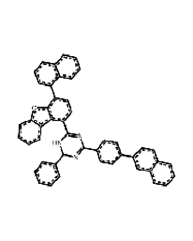 c1ccc(C2N=C(c3ccc(-c4ccc5ccccc5c4)cc3)N=C(c3ccc(-c4cccc5ccccc45)c4oc5ccccc5c34)N2)cc1